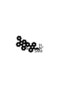 CS/C(=C\CN)c1c2ccccc2c(-c2cccc3c2sc2cccc(-c4c5ccccc5c(-c5ccccc5)c5ccccc45)c23)c2ccccc12